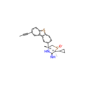 CC#Cc1ccc2sc3ccc([C@]4(C)C[S+]([O-])[C@@](C)(C5CC5)C(=N)N4)cc3c2c1